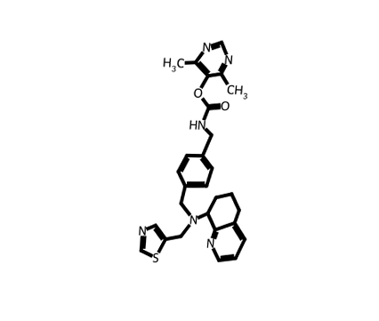 Cc1ncnc(C)c1OC(=O)NCc1ccc(CN(Cc2cncs2)C2CCCc3cccnc32)cc1